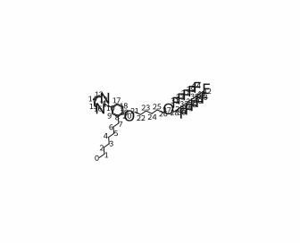 CCCCCCCCc1cc(-c2ncccn2)ccc1OCCCCCCOCC(F)(F)C(F)(F)C(F)(F)C(F)(F)C(F)(F)F